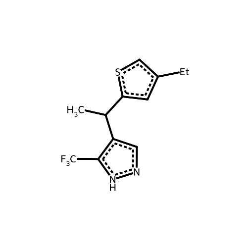 CCc1csc(C(C)c2cn[nH]c2C(F)(F)F)c1